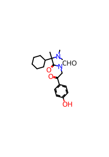 CN(C)C(C)(C(=O)N(C=O)CC(=O)c1ccc(O)cc1)C1CCCCC1